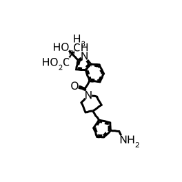 C[C@](O)(C(=O)O)c1cc2c(C(=O)N3CCC(c4cccc(CN)c4)CC3)cccc2[nH]1